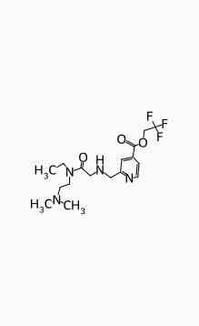 CCN(CCN(C)C)C(=O)CNCc1cc(C(=O)OCC(F)(F)F)ccn1